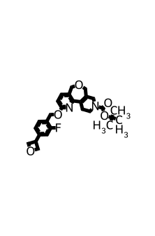 CC(C)(C)OC(=O)N1CCC2=C(COCc3ccc(OCc4ccc(C5COC5)cc4F)nc32)C1